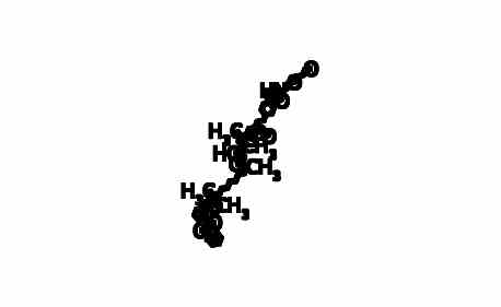 COC(CC1CCCC(C(=O)C(=O)N2CCCCC2)O1)/C(C)=C/C=C/C=C/CCC(C)C(=O)CC(O)/C(C)=C/C(C)C(=O)CC(CCC1CCC(OC(=O)NCCOCCC=O)CC1)OC=O